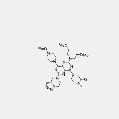 COCCN(CCOC)c1nc(N2CCN(C)C(=O)C2)c2nc(N3CCn4nncc4C3)nc(N3CCN(OC)CC3)c2n1